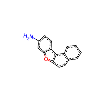 Nc1ccc2c(c1)oc1ccc3ccccc3c12